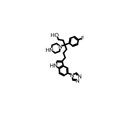 OCCC(CCCc1c[nH]c2ccc(-n3cnnc3)cc12)(c1ccc(F)cc1)N1CCNCC1